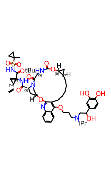 C=C[C@@H]1C[C@]1(NC(=O)[C@@H]1C[C@@H]2CN1C(=O)[C@H](C(C)(C)C)NC(=O)O[C@@H]1C[C@H]1CCCCCc1c(nc3ccccc3c1OCCCN(CC(O)c1ccc(O)c(O)c1)C(C)C)O2)C(=O)NS(=O)(=O)C1(C)CC1